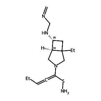 C=NCN[C@@H]1CC2(CC)CN(C(=C=CCC)SN)C[C@@H]12